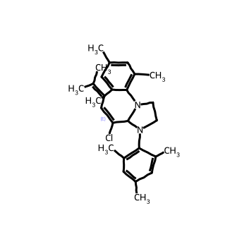 CC(C)=C/C=C(/Cl)C1N(c2c(C)cc(C)cc2C)CCN1c1c(C)cc(C)cc1C